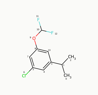 CC(C)c1cc(Cl)cc(OC(F)F)c1